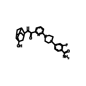 NC(=O)c1ccc(N2CCN(c3cccc(C(=O)NC4C5CC6CC4CC(O)(C6)C5)n3)CC2)cc1F